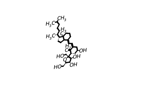 C=C1/C(=C\C=C2CCC[C@@]3(C)C2CC[C@@H]3[C@H](C)CCCC(C)C)C[C@@H](O)C[C@@H]1[C@@]1(CO)O[C@H](CO)[C@@H](O)[C@@H]1O